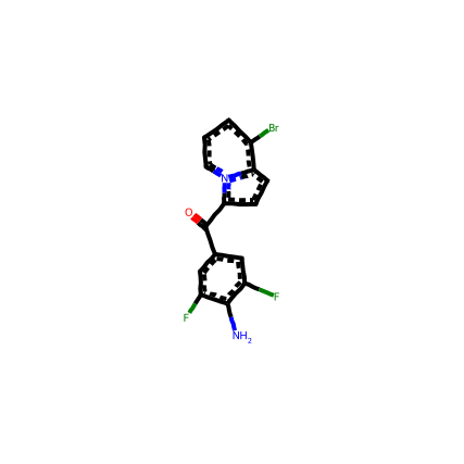 Nc1c(F)cc(C(=O)c2ccc3c(Br)cccn23)cc1F